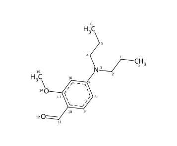 CCCN(CCC)c1ccc(C=O)c(OC)c1